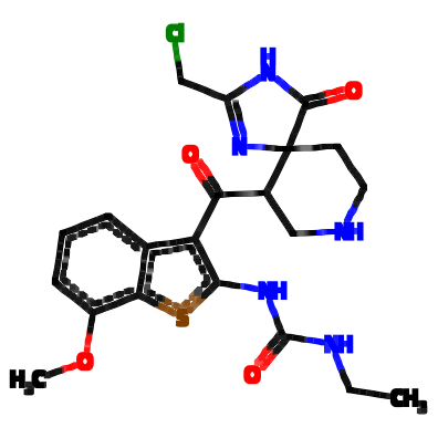 CCNC(=O)Nc1sc2c(OC)cccc2c1C(=O)C1CNCCC12N=C(CCl)NC2=O